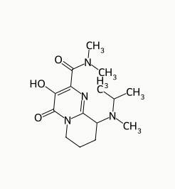 CC(C)N(C)C1CCCn2c1nc(C(=O)N(C)C)c(O)c2=O